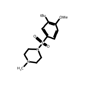 COc1ccc(S(=O)(=O)N2CCN(C)CC2)cc1C(C)(C)C